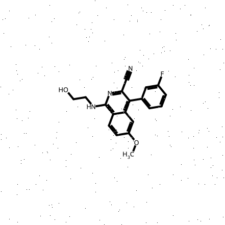 COc1ccc2c(NCCO)nc(C#N)c(-c3cccc(F)c3)c2c1